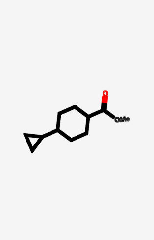 COC(=O)C1CCC(C2CC2)CC1